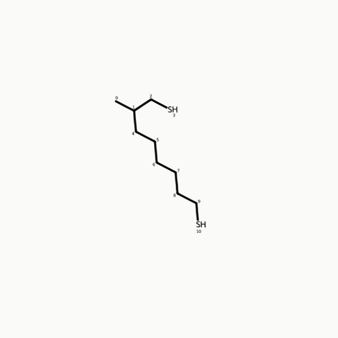 CC(CS)CCCCCCS